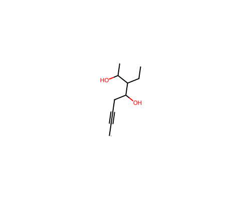 [CH2]C#CCC(O)C(CC)C(C)O